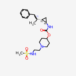 C/C(=C\c1ccccc1)[C@@H]1C[C@H]1NC(=O)OC1CCN(CCNS(C)(=O)=O)CC1